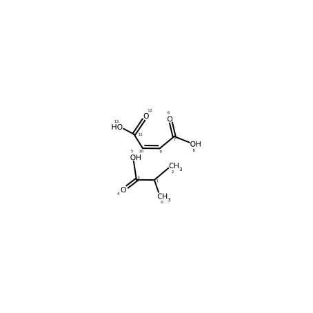 CC(C)C(=O)O.O=C(O)/C=C\C(=O)O